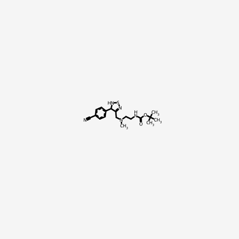 CN(CCNC(=O)OC(C)(C)C)CC1=NSNC1c1ccc(C#N)cc1